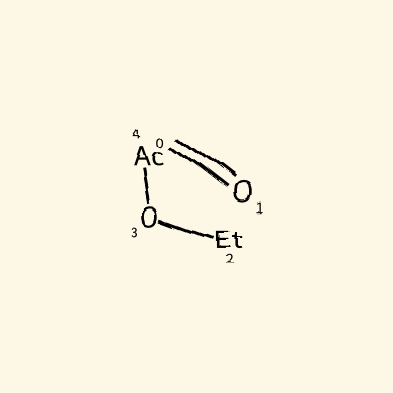 C=O.CCOC(C)=O